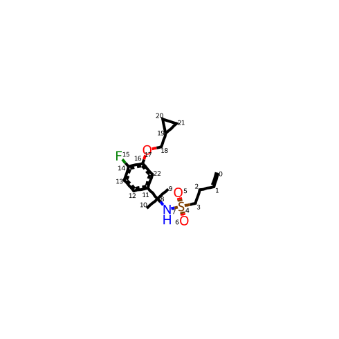 C=CCCS(=O)(=O)NC(C)(C)c1ccc(F)c(OCC2CC2)c1